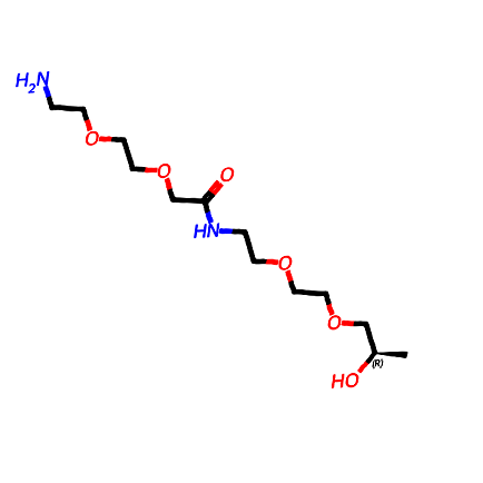 C[C@@H](O)COCCOCCNC(=O)COCCOCCN